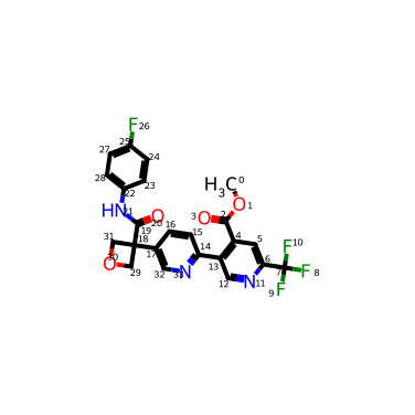 COC(=O)c1cc(C(F)(F)F)ncc1-c1ccc(C2(C(=O)Nc3ccc(F)cc3)COC2)cn1